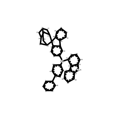 c1ccc(-c2ccc(N(c3ccc4c(c3)-c3ccccc3C43C4CC5CC(C4)CC3C5)c3cccc4sc5ccccc5c34)cc2)cc1